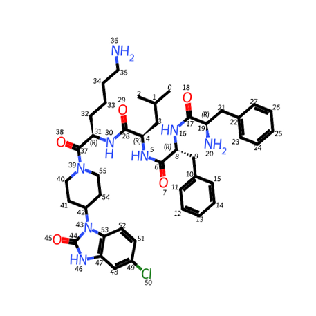 CC(C)C[C@@H](NC(=O)[C@@H](Cc1ccccc1)NC(=O)[C@H](N)Cc1ccccc1)C(=O)N[C@H](CCCCN)C(=O)N1CCC(n2c(=O)[nH]c3cc(Cl)ccc32)CC1